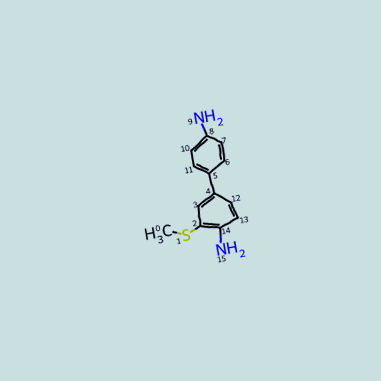 CSc1cc(-c2ccc(N)cc2)ccc1N